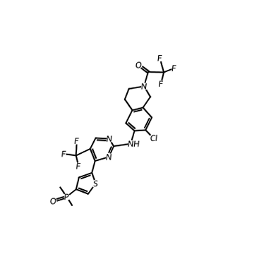 CP(C)(=O)c1csc(-c2nc(Nc3cc4c(cc3Cl)CN(C(=O)C(F)(F)F)CC4)ncc2C(F)(F)F)c1